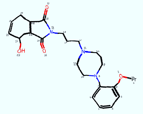 CC(C)Oc1ccccc1N1CCN(CCCN2C(=O)C3CC=CC(O)C3C2=O)CC1